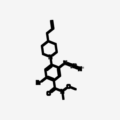 C=CCC1CCN(c2cc(Br)c(C(=O)N(C)OC)cc2N=[N+]=[N-])CC1